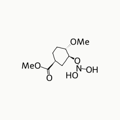 COC(=O)[C@H]1CC[C@H](OC)[C@@H](ON(O)O)C1